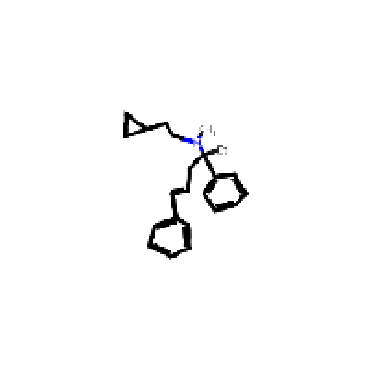 CCC(CC=Cc1ccccc1)(c1ccccc1)N(C)CCC1CC1